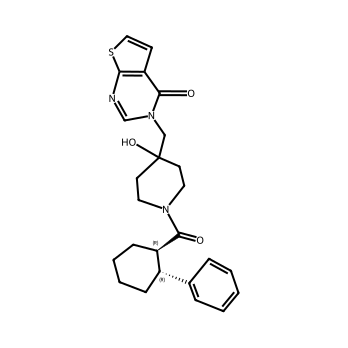 O=C([C@@H]1CCCC[C@H]1c1ccccc1)N1CCC(O)(Cn2cnc3sccc3c2=O)CC1